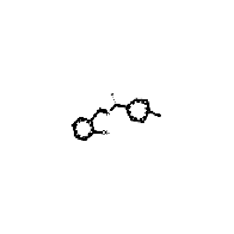 Cc1ccc([C@@H](C)/N=C/c2ccccc2O)cc1